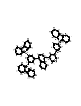 c1ccc2c(-c3cc(-n4c5ccccc5c5ccccc54)cc(-n4c5ccccc5c5ccccc54)c3)ccc(-c3cncc(-c4ccc(-n5c6ccccc6c6ccccc65)cc4)c3)c2c1